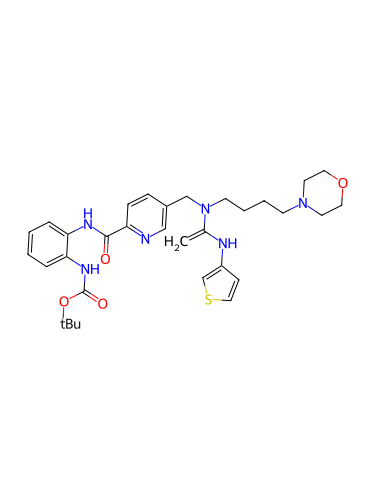 C=C(Nc1ccsc1)N(CCCCN1CCOCC1)Cc1ccc(C(=O)Nc2ccccc2NC(=O)OC(C)(C)C)nc1